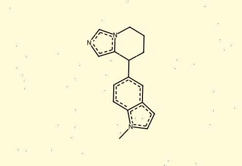 Cn1ccc2cc(C3CCCn4cncc43)ccc21